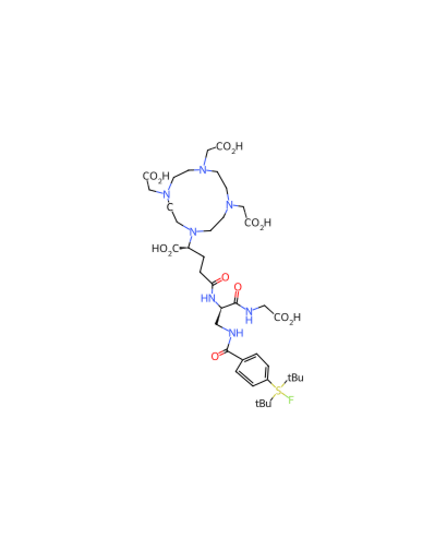 CC(C)(C)S(F)(c1ccc(C(=O)NC[C@@H](NC(=O)CC[C@@H](C(=O)O)N2CCN(CC(=O)O)CCN(CC(=O)O)CCN(CC(=O)O)CC2)C(=O)NCC(=O)O)cc1)C(C)(C)C